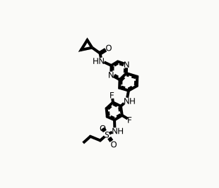 CCCS(=O)(=O)Nc1ccc(F)c(Nc2ccc3ncc(NC(=O)C4CC4)nc3c2)c1F